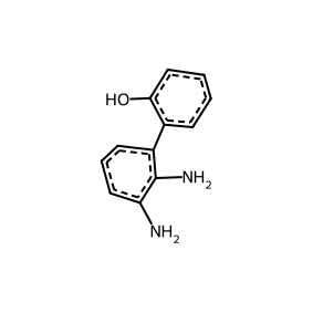 Nc1cccc(-c2ccccc2O)c1N